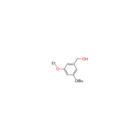 CCOc1cc([CH]O)cc(OCC(C)C)c1